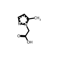 Cc1c[c]nn1CC(=O)O